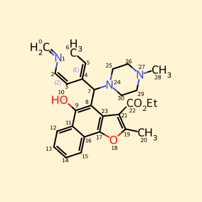 C=N/C=C\C(=C/C)C(c1c(O)c2ccccc2c2oc(C)c(C(=O)OCC)c12)N1CCN(C)CC1